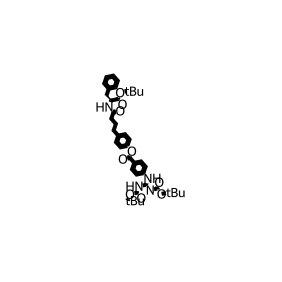 CC(C)(C)OC(=O)/N=C(/NC(=O)OC(C)(C)C)Nc1ccc(C(=O)Oc2ccc(CCCC(=O)N[C@@H](Cc3ccccc3)C(=O)OC(C)(C)C)cc2)cc1